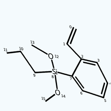 C=Cc1ccccc1[Si](CCC)(OC)OC